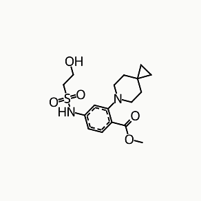 COC(=O)c1ccc(NS(=O)(=O)CCO)cc1N1CCC2(CC1)CC2